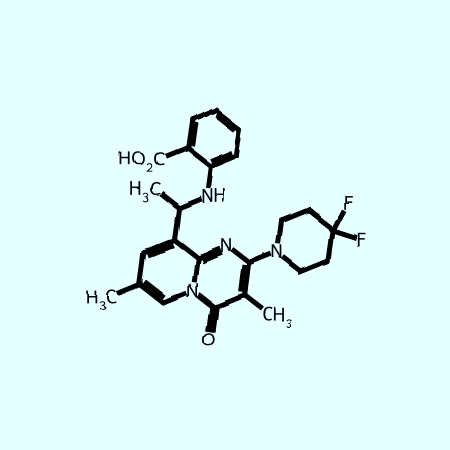 Cc1cc(C(C)Nc2ccccc2C(=O)O)c2nc(N3CCC(F)(F)CC3)c(C)c(=O)n2c1